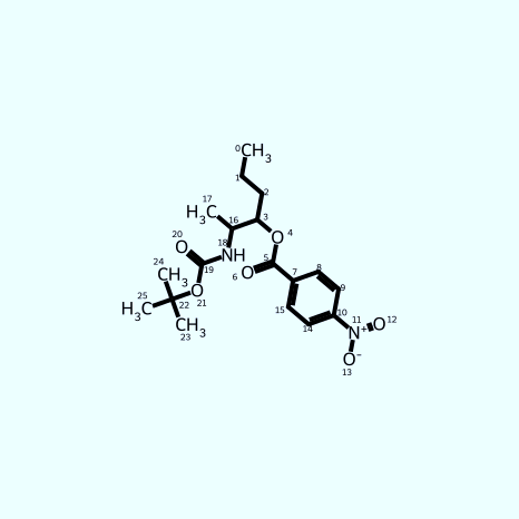 CCCC(OC(=O)c1ccc([N+](=O)[O-])cc1)C(C)NC(=O)OC(C)(C)C